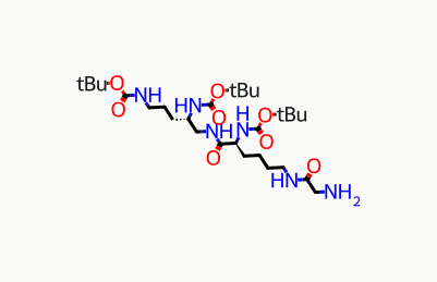 CC(C)(C)OC(=O)NCCC[C@@H](CNC(=O)[C@H](CCCCNC(=O)CN)NC(=O)OC(C)(C)C)NC(=O)OC(C)(C)C